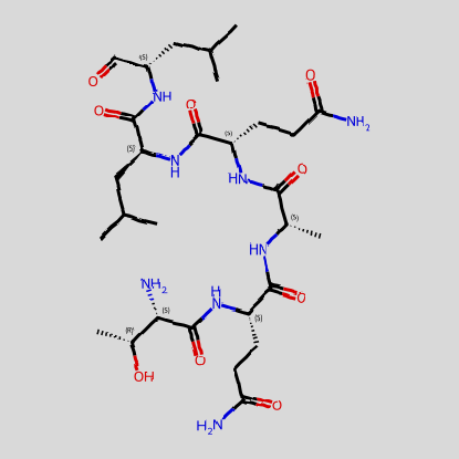 CC(C)C[C@@H]([C]=O)NC(=O)[C@H](CC(C)C)NC(=O)[C@H](CCC(N)=O)NC(=O)[C@H](C)NC(=O)[C@H](CCC(N)=O)NC(=O)[C@@H](N)[C@@H](C)O